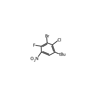 CC(C)(C)c1cc([N+](=O)[O-])c(F)c(Br)c1Cl